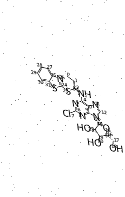 CC[C@@H](Nc1nc(Cl)nc2c1ncn2[C@@H]1O[C@H](CO)C(O)C1O)Sc1nc2ccccc2s1